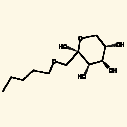 CCCCCOC[C@@]1(O)OC[C@H](O)[C@@H](O)[C@@H]1O